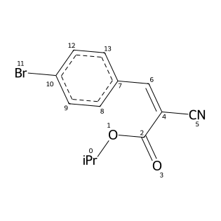 CC(C)OC(=O)C(C#N)=Cc1ccc(Br)cc1